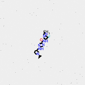 Cc1cn2cc(NC(=O)c3cnc(NCC4CCCN(C5CC5)C4)cn3)cc(F)c2n1